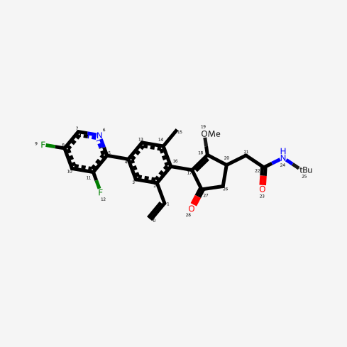 C=Cc1cc(-c2ncc(F)cc2F)cc(C)c1C1=C(OC)C(CC(=O)NC(C)(C)C)CC1=O